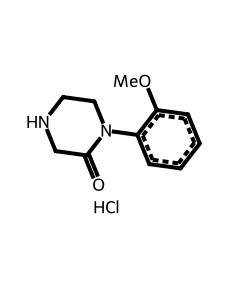 COc1ccccc1N1CCNCC1=O.Cl